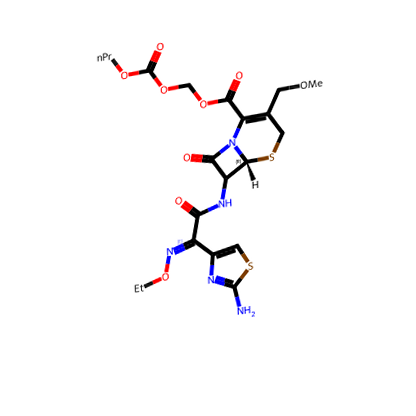 CCCOC(=O)OCOC(=O)C1=C(COC)CS[C@@H]2C(NC(=O)/C(=N/OCC)c3csc(N)n3)C(=O)N12